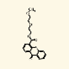 COCCOCCOC(=O)c1cccc2c(=O)c3ccccc3sc12